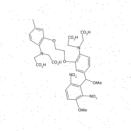 COc1ccc([N+](=O)[O-])c(C(OC)c2ccc(N(CC(=O)O)CC(=O)O)c(OCCOc3cc(C)ccc3N(CC(=O)O)CC(=O)O)c2)c1[N+](=O)[O-]